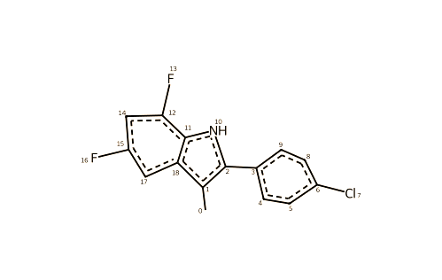 Cc1c(-c2ccc(Cl)cc2)[nH]c2c(F)cc(F)cc12